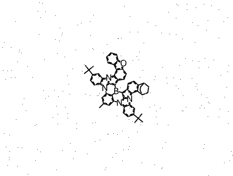 Cc1cc2c3c(c1)-n1c4ccc(C(C)(C)C)cc4n4c5c(ccc6oc7ccccc7c65)c(c14)B3c1c3ccc4c(c3n3c5cc(C(C)(C)C)ccc5n-2c13)C1CCC4CC1